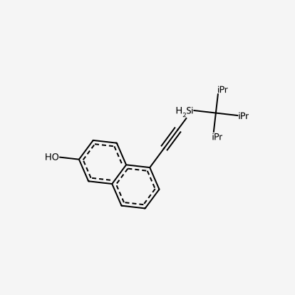 CC(C)C([SiH2]C#Cc1cccc2cc(O)ccc12)(C(C)C)C(C)C